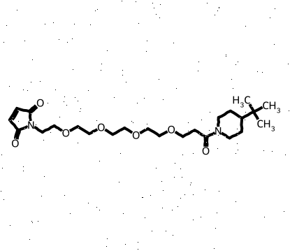 CC(C)(C)C1CCN(C(=O)CCOCCOCCOCCOCCN2C(=O)C=CC2=O)CC1